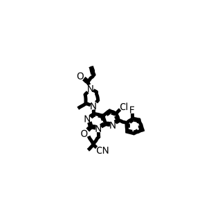 C=CC(=O)N1CCN(c2nc(=O)n(CC(C)(C)C#N)c3nc(-c4ccccc4F)c(Cl)cc23)C(C)C1